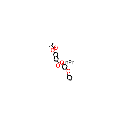 C=C(C)C(=O)Oc1ccc2cc(C(=O)Oc3ccc(OCc4ccccc4)cc3CCC)ccc2c1